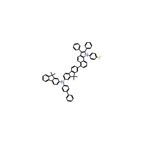 CC1(C)c2ccccc2-c2ccc(N(c3ccc(-c4ccccc4)cc3)c3ccc4c(c3)C(C)(C)c3cc(-c5cccc6c5ccc5c(-c7ccccc7)c(-c7ccccc7)n(-c7ccc(F)cc7)c56)ccc3-4)cc21